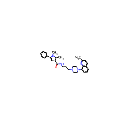 Cc1ccc2cccc(N3CCN(CCCNC(=O)C4C=C(c5ccccc5)N(C)C4C)CC3)c2n1